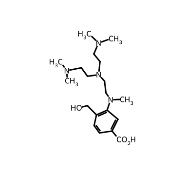 CN(C)CCN(CCN(C)C)CCN(C)c1cc(C(=O)O)ccc1CO